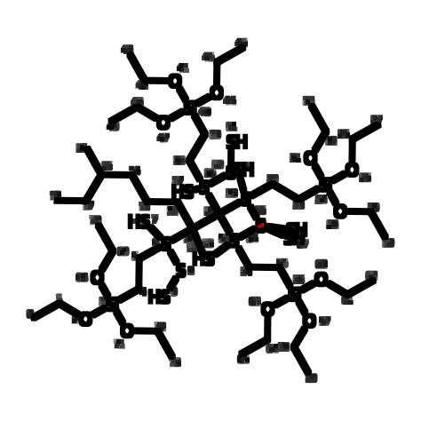 CCO[Si](CCS(S)(SS)C(C)(CCCC(C)CC)C(S(S)(CC[Si](OCC)(OCC)OCC)SS)(S(S)(CC[Si](OCC)(OCC)OCC)SS)S(S)(CC[Si](OCC)(OCC)OCC)SS)(OCC)OCC